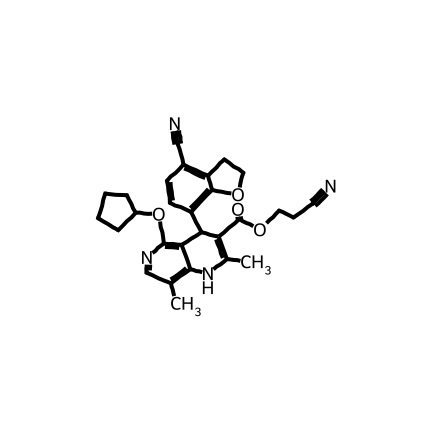 CC1=C(C(=O)OCCC#N)C(c2ccc(C#N)c3c2OCC3)c2c(OC3CCCC3)ncc(C)c2N1